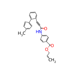 C=CCOC(=O)c1ccc(NC(=O)C#Cc2ccccc2-c2ccc(C)cc2)cc1